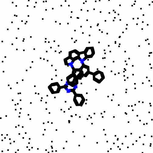 c1ccc(-c2cc(-c3ccccc3)cc(-n3c4ccccc4c4ccc5ccn(-c6cccc(-c7nc(-c8ccccc8)nc(-c8ccccc8)n7)c6)c5c43)c2)cc1